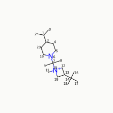 CC(C)C1CCN(C(C)(C)[N+]2(C)CC(C(C)(C)C)C2)CC1